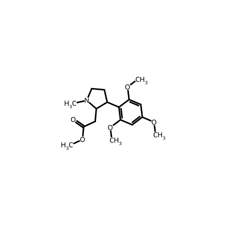 COC(=O)CC1C(c2c(OC)cc(OC)cc2OC)CCN1C